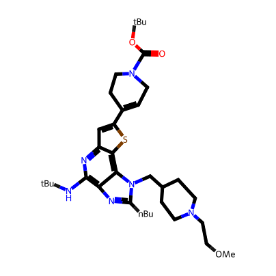 CCCCc1nc2c(NC(C)(C)C)nc3cc(C4=CCN(C(=O)OC(C)(C)C)CC4)sc3c2n1CC1CCN(CCOC)CC1